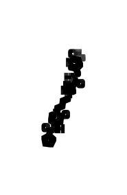 Cc1ccc(CNC(=O)c2cn(CCCCn3ccc(NC(=O)C4CCCC4)cc3=O)nn2)cn1